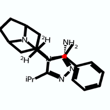 [2H]C([2H])(C[C@H](N)c1ccccc1)N1C2CCC1CC(n1c(C)nnc1C(C)C)C2